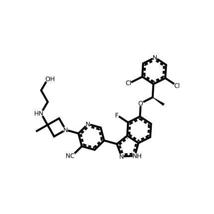 C[C@@H](Oc1ccc2[nH]nc(-c3cnc(N4CC(C)(NCCO)C4)c(C#N)c3)c2c1F)c1c(Cl)cncc1Cl